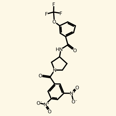 O=C(NC1CCN(C(=O)c2cc([N+](=O)[O-])cc([N+](=O)[O-])c2)C1)c1cccc(OC(F)(F)F)c1